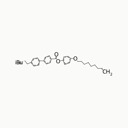 C=CCCCCCCCOc1ccc(OC(=O)c2ccc(-c3ccc(CC[C@@H](C)CC)cc3)cc2)cc1